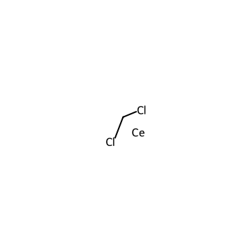 ClCCl.[Ce]